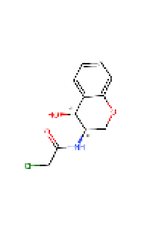 O=C(CCl)N[C@@H]1COc2ccccc2[C@@H]1O